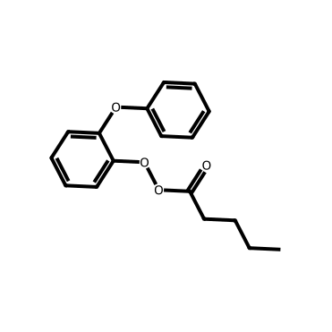 CCCCC(=O)OOc1ccccc1Oc1ccccc1